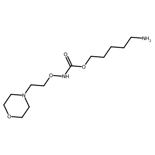 NCCCCCOC(=O)NOCCN1CCOCC1